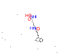 O=C(/C=C/C=C/c1cccc2ccccc12)NCCCCCC(=O)NO